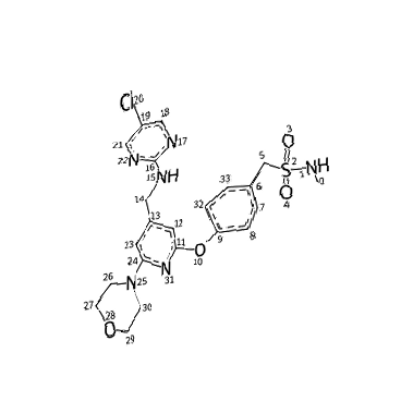 CNS(=O)(=O)Cc1ccc(Oc2cc(CNc3ncc(Cl)cn3)cc(N3CCOCC3)n2)cc1